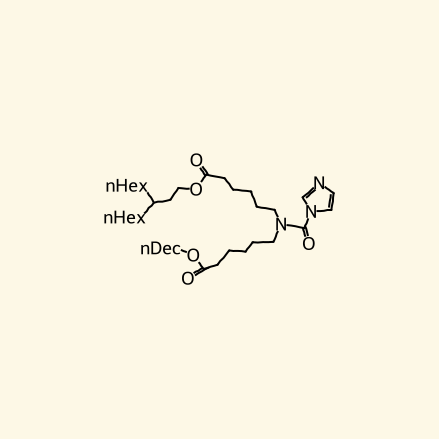 CCCCCCCCCCOC(=O)CCCCCN(CCCCCC(=O)OCCC(CCCCCC)CCCCCC)C(=O)n1ccnc1